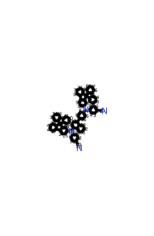 N#Cc1ccc(N(c2ccc(-c3ccc(N(c4ccc(C#N)cc4)c4ccc5c(c4)C(c4ccccc4)(c4ccccc4)c4ccccc4-5)c4ccccc34)cc2)c2ccc3c(c2)C(c2ccccc2)(c2ccccc2)c2ccccc2-3)cc1